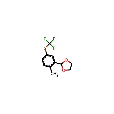 Cc1ccc(SC(F)(F)F)cc1C1OCCO1